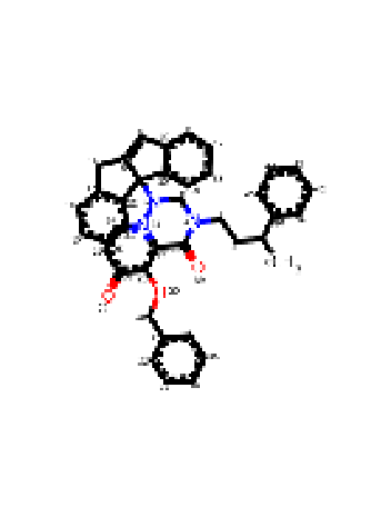 CC(CCN1CN(C23C(=Cc4ccccc42)Cc2ccccc23)n2ccc(=O)c(OCc3ccccc3)c2C1=O)c1ccccc1